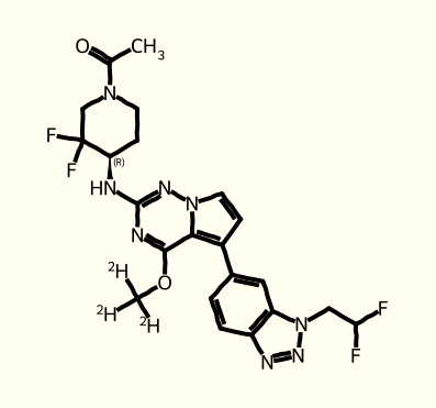 [2H]C([2H])([2H])Oc1nc(N[C@@H]2CCN(C(C)=O)CC2(F)F)nn2ccc(-c3ccc4nnn(CC(F)F)c4c3)c12